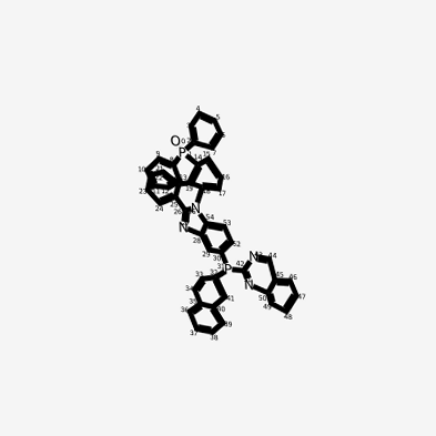 O=P(c1ccccc1)(c1ccccc1)c1cccc2c1c1ccccc1c1nc3cc(P(c4ccc5ccccc5c4)c4ncc5ccccc5n4)ccc3n21